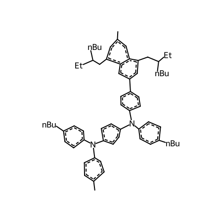 CCCCc1ccc(N(c2ccc(C)cc2)c2ccc(N(c3ccc(CCCC)cc3)c3ccc(-c4cc(CC(CC)CCCC)c5cc(C)cc(CC(CC)CCCC)c5c4)cc3)cc2)cc1